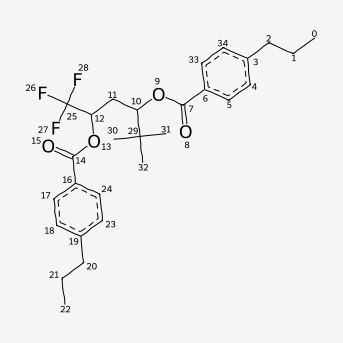 CCCc1ccc(C(=O)OC(CC(OC(=O)c2ccc(CCC)cc2)C(F)(F)F)C(C)(C)C)cc1